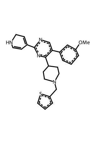 COc1cccc(-c2cnc(C3=CCNC=C3)nc2C2CCN(Cc3cccs3)CC2)c1